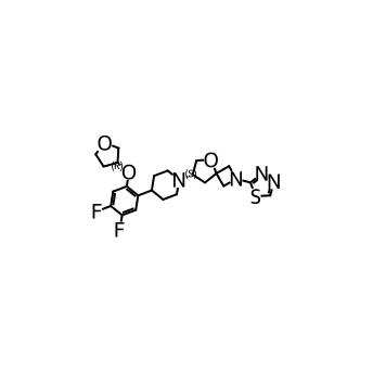 Fc1cc(O[C@@H]2CCOC2)c(C2CCN([C@@H]3COC4(C3)CN(c3nncs3)C4)CC2)cc1F